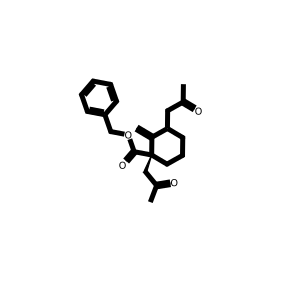 C=C1C(CC(C)=O)CCC[C@]1(CC(C)=O)C(=O)OCc1ccccc1